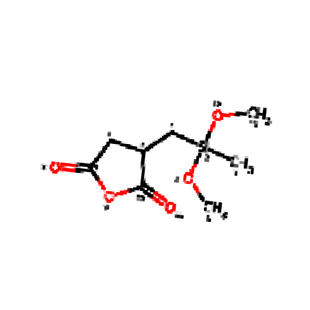 CO[Si](C)(CC1CC(=O)OC1=O)OC